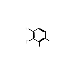 Fc1c(Br)ccc(Cl)c1I